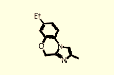 CCc1ccc2c(c1)OCc1nc(C)cn1-2